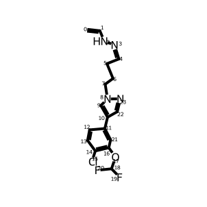 C=CN/N=C\CCCn1cc(-c2ccc(Cl)c(OC(F)F)c2)cn1